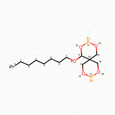 CC(C)CCCCCCCOC1OPOCC12COPOC2